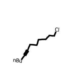 CCCCC#CCCCCCCCl